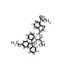 COc1ccc(C(OCC(CO)OCn2cnc3c(N(C)C)ncnc32)(c2ccccc2)c2ccccc2)cc1